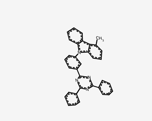 Cc1cccc2c1c1ccccc1n2-c1cccc(-c2nc(-c3ccccc3)nc(-c3ccccc3)n2)c1